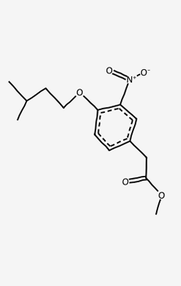 COC(=O)Cc1ccc(OCCC(C)C)c([N+](=O)[O-])c1